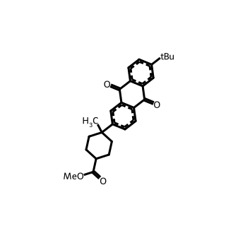 COC(=O)C1CCC(C)(c2ccc3c(c2)C(=O)c2ccc(C(C)(C)C)cc2C3=O)CC1